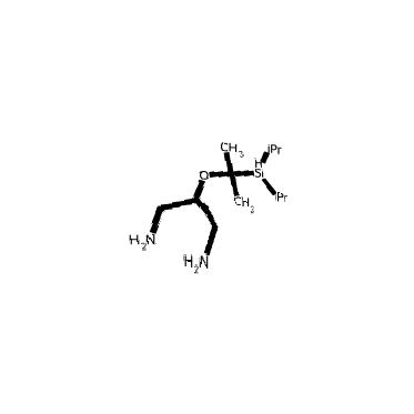 CC(C)[SiH](C(C)C)C(C)(C)OC(CN)CN